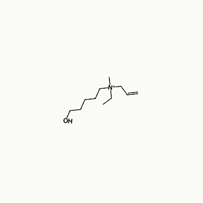 C=CC[N+](C)(CC)CCCCCO